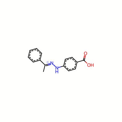 C/C(=N\Nc1ccc(C(=O)O)cc1)c1ccccc1